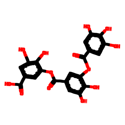 O=C(O)c1cc(O)c(O)c(OC(=O)c2cc(O)c(O)c(OC(=O)c3cc(O)c(O)c(O)c3)c2)c1